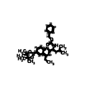 CCc1nc(C(CC(C)C)NC(=O)OCc2ccccc2)nc2ccc(B3OC(C)(C)C(C)(C)O3)cc12